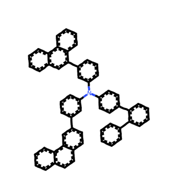 c1ccc(-c2ccccc2-c2ccc(N(c3cccc(-c4ccc5ccc6ccccc6c5c4)c3)c3cccc(-c4cc5ccccc5c5ccccc45)c3)cc2)cc1